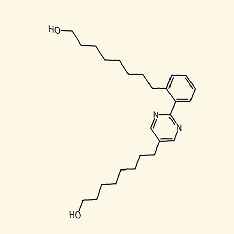 OCCCCCCCCc1cnc(-c2ccccc2CCCCCCCCO)nc1